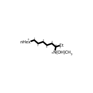 CCCCCCCCCCCC(CC)N(C)O